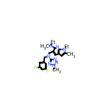 CCN(C)c1nc2c(cc1CN(Cc1cc(F)cc(F)c1)c1nnn(C)n1)cc(C)n2CC